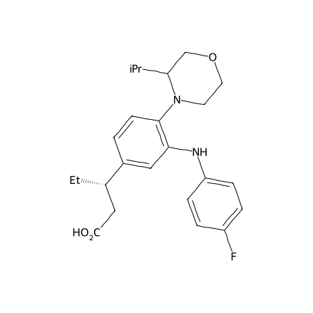 CC[C@@H](CC(=O)O)c1ccc(N2CCOCC2C(C)C)c(Nc2ccc(F)cc2)c1